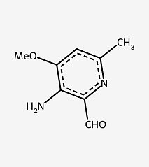 COc1cc(C)nc(C=O)c1N